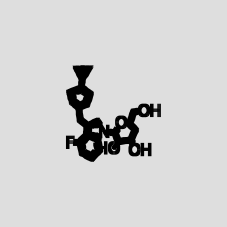 OCC1CC(O)[C@@H](O)C(n2cc(Cc3ccc(C4CC4)cc3)c3c(F)cccc32)O1